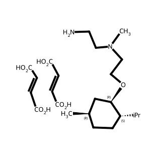 CC(C)[C@@H]1CC[C@@H](C)C[C@H]1OCCN(C)CCN.O=C(O)C=CC(=O)O.O=C(O)C=CC(=O)O